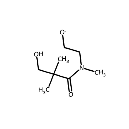 CN(CC[O])C(=O)C(C)(C)CO